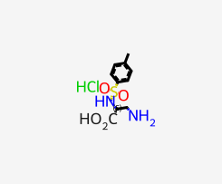 Cc1ccc(S(=O)(=O)N[C@@H](CN)C(=O)O)cc1.Cl